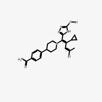 CCOc1nnc(/C(=C(/C=C(\C)CC)C2CC2)N2CCC(c3ccc(C(N)=O)cc3)CC2)[nH]1